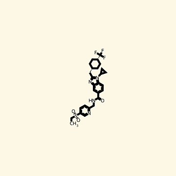 CCS(=O)(=O)c1ccc(CNC(=O)c2ccc3c(c2)nc(C[C@H]2CC[C@@H](C(F)(F)F)CC2)n3C2CC2)nc1